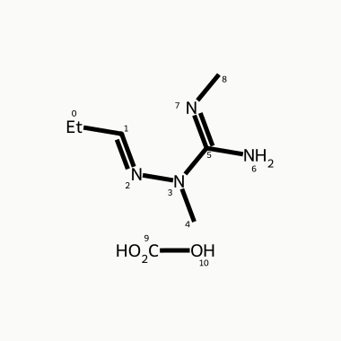 CCC=NN(C)C(N)=NC.O=C(O)O